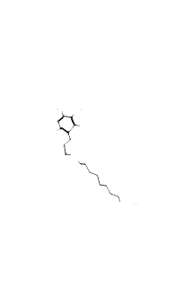 CCCCCCCCCCCCCCCCCCOC(=O)CCc1c(C)cc(C(C)(C)C)c(O)c1C